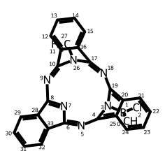 CB(Cl)n1c2nc3nc(nc4c5ccccc5c(nc1c1ccccc12)n4C)-c1ccccc1-3